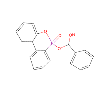 O=P1(OC(O)c2ccccc2)Oc2ccccc2-c2ccccc21